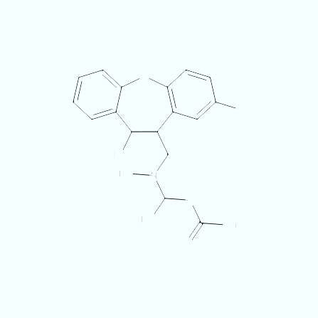 CCCC(=O)OC(C)N(C)CC1c2cc(Cl)ccc2Oc2ccccc2C1CC